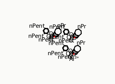 CCCCCc1ccc(OP(=O)([O-])Oc2c3cc(CCCCC)cc2CC(CCC)CC3)c(CCCCC)c1.CCCCCc1ccc(OP(=O)([O-])Oc2c3cc(CCCCC)cc2CC(CCC)CC3)c(CCCCC)c1.CCCCCc1ccc(OP(=O)([O-])Oc2c3cc(CCCCC)cc2CC(CCC)CC3)c(CCCCC)c1.[Al+3]